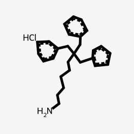 Cl.NCCCCCCC(Cc1ccccc1)(Cc1ccccc1)Cc1ccccc1